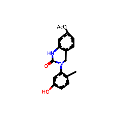 CC(=O)Oc1ccc2c(c1)NC(=O)N(c1cc(O)ccc1C)C2